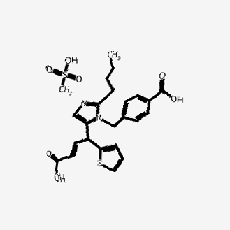 CCCCc1ncc(C(C=CC(=O)O)c2cccs2)n1Cc1ccc(C(=O)O)cc1.CS(=O)(=O)O